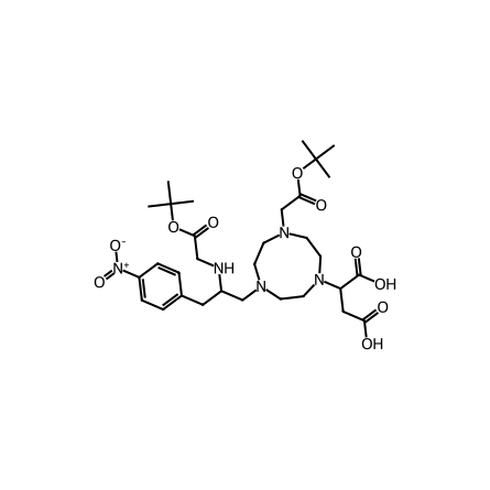 CC(C)(C)OC(=O)CNC(Cc1ccc([N+](=O)[O-])cc1)CN1CCN(CC(=O)OC(C)(C)C)CCN(C(CC(=O)O)C(=O)O)CC1